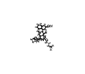 C=N/C=c1/c(N2CC3CCC(C2)N3)nc(OCCCN(C)C)n/c1=C(\F)Cc1cc(O)cc2ccccc12